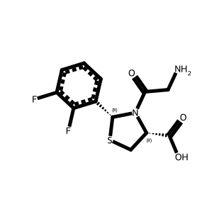 NCC(=O)N1[C@@H](c2cccc(F)c2F)SC[C@H]1C(=O)O